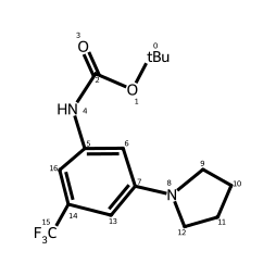 CC(C)(C)OC(=O)Nc1cc(N2CCCC2)cc(C(F)(F)F)c1